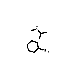 CNC(C)C.NC1CCCCC1